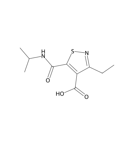 CCc1nsc(C(=O)NC(C)C)c1C(=O)O